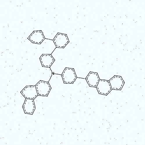 c1ccc(-c2ccccc2-c2cccc(N(c3ccc(-c4ccc5c(ccc6ccccc65)c4)cc3)c3ccc4c(ccc5ccccc54)c3)c2)cc1